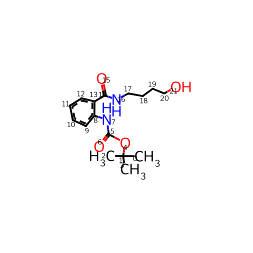 CC(C)(C)OC(=O)Nc1ccccc1C(=O)NCCCCO